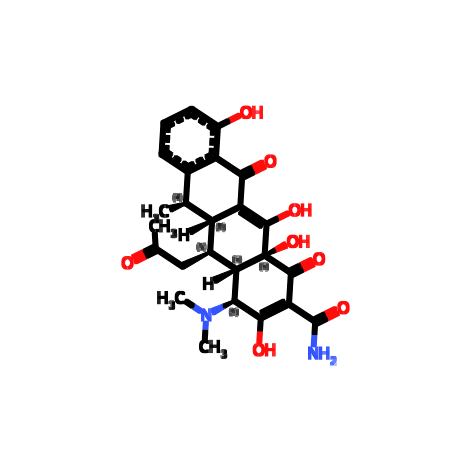 CC(=O)C[C@H]1[C@H]2C(=C(O)[C@]3(O)C(=O)C(C(N)=O)=C(O)[C@@H](N(C)C)[C@H]13)C(=O)c1c(O)cccc1[C@@H]2C